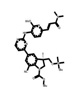 COc1nc(/C=C/C(=O)N(C)C)ccc1Nc1nccc(-c2cc(C#N)c3c(c2)[C@@](C)(CO[Si](C)(C)C(C)(C)C)CN3C(=O)OC(C)(C)C)n1